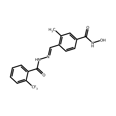 Cc1cc(C(=O)NO)ccc1/C=N/NC(=O)c1ccccc1C(F)(F)F